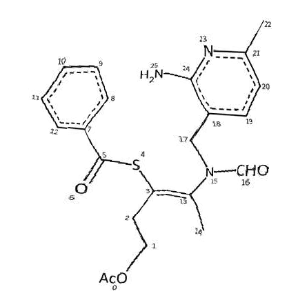 CC(=O)OCC/C(SC(=O)c1ccccc1)=C(\C)N(C=O)Cc1ccc(C)nc1N